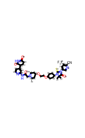 C[C@@H]1C[C@H](OCCO[C@H]2CC[C@H](N3C(=S)N(c4cnc(C#N)c(C(F)(F)F)c4)C(=O)C3(C)C)CC2)C[C@H](C)N1CC(=O)Nc1cc(C2CCC(=O)NC2=O)ccn1